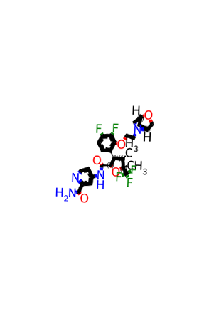 C[C@H]1[C@@H](c2ccc(F)c(F)c2OCCN2C[C@H]3C[C@@H]2CO3)[C@H](C(=O)Nc2ccnc(C(N)=O)c2)O[C@@]1(C)C(F)(F)F